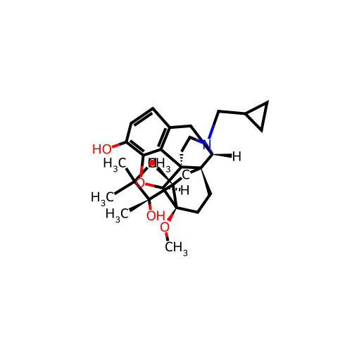 CO[C@]12CC[C@]3(C[C@H]1[C@](C)(O)C(C)(C)C)[C@H]1Cc4ccc(O)c5c4[C@]3(CCN1CC1CC1)[C@@H]2O5